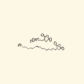 CC(C)CCCCCCCCCCCCCCCC1CC(=O)OC1=O.CCCCCCCCCCCC1CC(=O)OC1=O